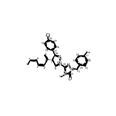 C=C(/C=C\C=C/C)[C@H]1CN(c2nn(Cc3ccc(C)cc3)c(=O)n2C)N=C1c1ccc(Cl)cc1